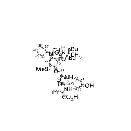 CCCCC(C)(CCCC)NS(=O)(=O)c1cc(OCC(=O)N[C@@H](C(=O)N[C@H](C(=O)O)C(C)C)c2ccc(O)cc2)c(SC)cc1N(C)c1ccccc1